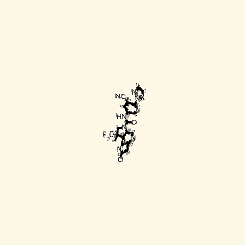 C[C@@]1(C(F)(F)F)CN(C(=O)Nc2cnc(-n3nccn3)c(C#N)c2)c2cnc3cc(Cl)nn3c21